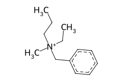 CCC[N+](C)(CC)Cc1ccccc1